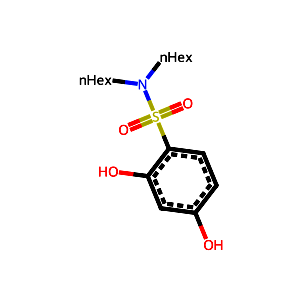 CCCCCCN(CCCCCC)S(=O)(=O)c1ccc(O)cc1O